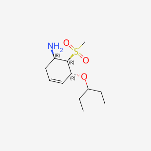 CCC(CC)O[C@@H]1C=CC[C@@H](N)[C@H]1S(C)(=O)=O